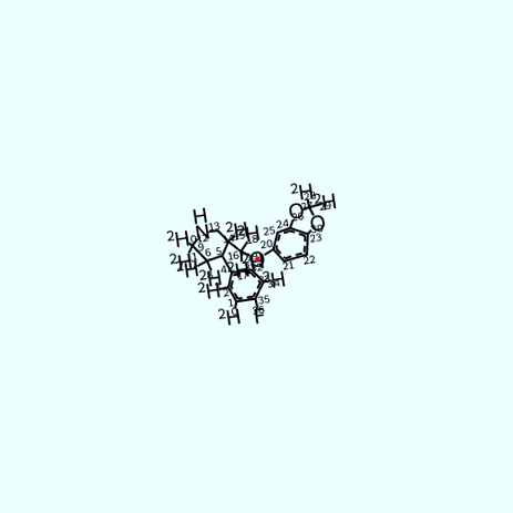 [2H]c1c([2H])c(C2C([2H])([2H])C([2H])([2H])NC[C@]2([2H])C([2H])([2H])Oc2ccc3c(c2)OC([2H])([2H])O3)c([2H])c([2H])c1F